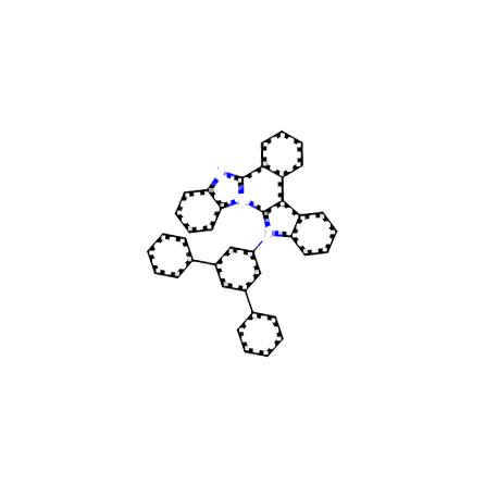 c1ccc(-c2cc(-c3ccccc3)cc(-n3c4ccccc4c4c5ccccc5c5nc6ccccc6n5c43)c2)cc1